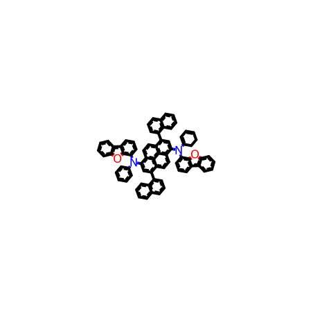 C1=CCCC(N(c2cc(-c3cccc4ccccc34)c3ccc4c(N(c5ccccc5)c5cccc6c5oc5ccccc56)cc(-c5cccc6ccccc56)c5ccc2c3c54)c2cccc3c2oc2ccccc23)=C1